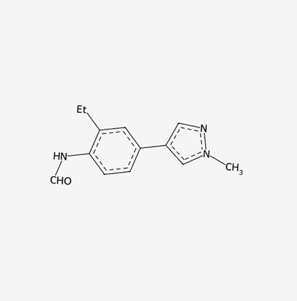 CCc1cc(-c2cnn(C)c2)ccc1NC=O